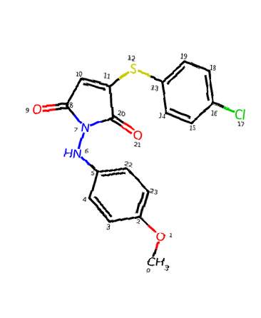 COc1ccc(NN2C(=O)C=C(Sc3ccc(Cl)cc3)C2=O)cc1